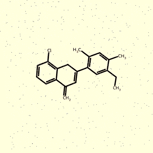 C=C1C=C(c2cc(CC)c(C)cc2C)Cc2c(Cl)cccc21